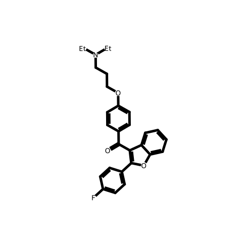 CCN(CC)CCCOc1ccc(C(=O)c2c(-c3ccc(F)cc3)oc3ccccc23)cc1